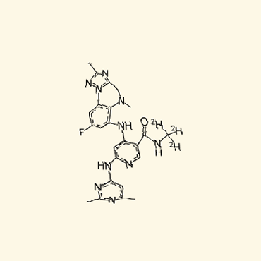 [2H]C([2H])([2H])NC(=O)c1cnc(Nc2cc(C)nc(C)n2)cc1Nc1cc(F)cc2c1N(C)Cc1nc(C)nn1-2